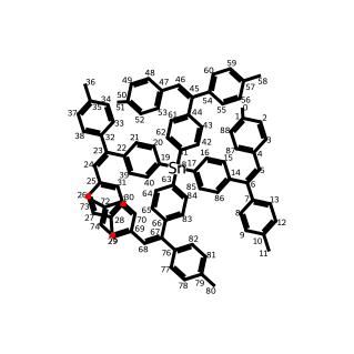 Cc1ccc(/C=C(/c2ccc(C)cc2)c2cc[c]([Sn]([c]3ccc(/C(=C\c4ccc(C)cc4)c4ccc(C)cc4)cc3)([c]3ccc(/C(=C\c4ccc(C)cc4)c4ccc(C)cc4)cc3)[c]3ccc(/C(=C\c4ccc(C)cc4)c4ccc(C)cc4)cc3)cc2)cc1